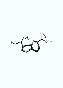 CC(C)c1ccc2ncn(C(C)C)c2n1